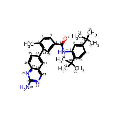 Cc1ccc(C(=O)Nc2cc(C(C)(C)C)ccc2C(C)(C)C)cc1-c1ccc2nc(N)ncc2c1